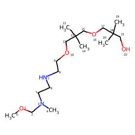 COCN(C)CCNCCOCC(C)(C)COCC(C)(C)CO